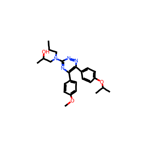 CCCN(CC(C)O)c1nnc(-c2ccc(OC(C)C)cc2)c(-c2ccc(OC)cc2)n1